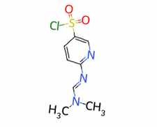 CN(C)C=Nc1ccc(S(=O)(=O)Cl)cn1